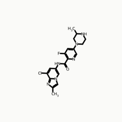 Cc1cn2cc(NC(=O)c3ncc(N4CCNC(C)C4)cc3F)cc(Cl)c2n1